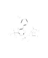 CC(Cl)NC(C)Cl.ClC(Cl)(Cl)c1nc(-c2cccc(Br)c2)nc(C(Cl)(Cl)Cl)n1